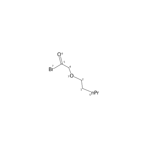 CCCCCOCC(=O)Br